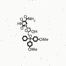 COc1ccc(C(OC[C@H]2O[C@@H](n3cc(C(N)=O)c(=O)[nH]c3=O)C[C@@H]2O)(c2ccccc2)c2ccc(OC)cc2)cc1